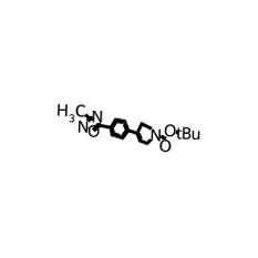 Cc1noc(-c2ccc(C3=CCN(C(=O)OC(C)(C)C)CC3)cc2)n1